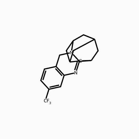 FC(F)(F)c1ccc2c(c1)N=C1C3CC4CC(C3)CC(C4)N1C2